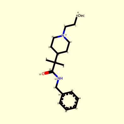 CCCCCCCCCCCCN1CCC(C(C)(C)C(=O)NCc2ccccc2)CC1